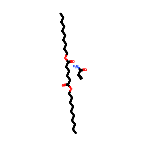 C=CC(N)=O.CCCCCCCCCCOC(=O)CCCCC(=O)OCCCCCCCCCC